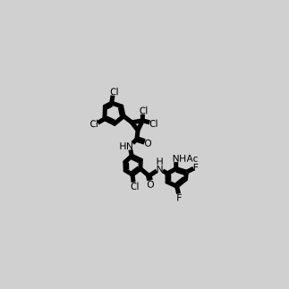 CC(=O)Nc1c(F)cc(F)cc1NC(=O)c1cc(NC(=O)C2C(c3cc(Cl)cc(Cl)c3)C2(Cl)Cl)ccc1Cl